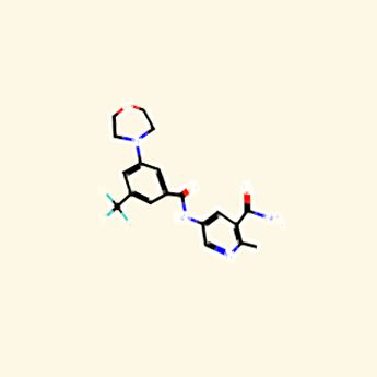 Cc1ncc(NC(=O)c2cc(N3CCOCC3)cc(C(F)(F)F)c2)cc1C(N)=O